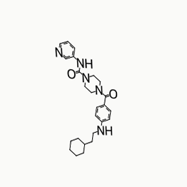 O=C(Nc1cccnc1)N1CCN(C(=O)c2ccc(NCCC3CCCCC3)cc2)CC1